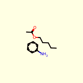 CCCCCOC(C)=O.Nc1ccccc1